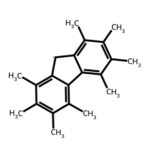 Cc1c(C)c(C)c2c(c1C)[CH]c1c(C)c(C)c(C)c(C)c1-2